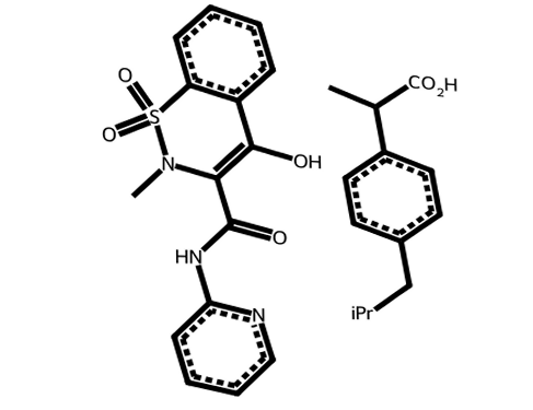 CC(C)Cc1ccc(C(C)C(=O)O)cc1.CN1C(C(=O)Nc2ccccn2)=C(O)c2ccccc2S1(=O)=O